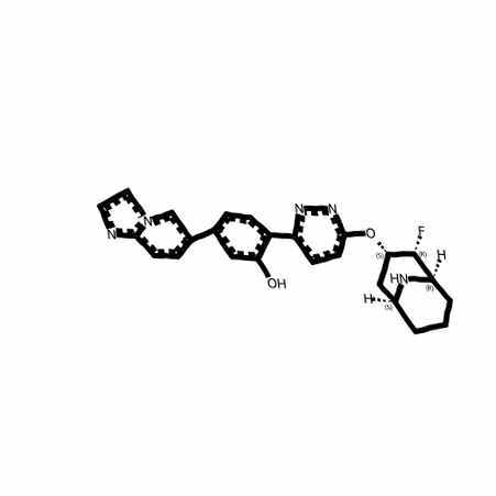 Oc1cc(-c2ccc3nccn3c2)ccc1-c1ccc(O[C@H]2C[C@@H]3CCC[C@@H](N3)[C@H]2F)nn1